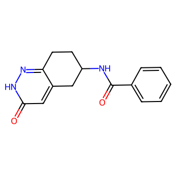 O=C(NC1CCc2n[nH]c(=O)cc2C1)c1ccccc1